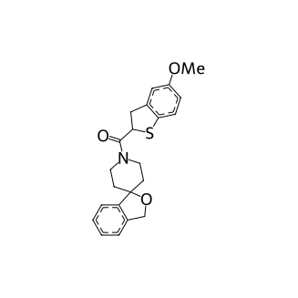 COc1ccc2c(c1)CC(C(=O)N1CCC3(CC1)OCc1ccccc13)S2